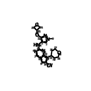 Cn1cc(Nc2ncc3cc(C#N)n(C4CCOCC4)c3n2)c(OC2COC2)n1